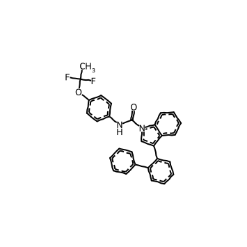 CC(F)(F)Oc1ccc(NC(=O)n2cc(-c3ccccc3-c3ccccc3)c3ccccc32)cc1